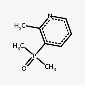 Cc1ncccc1P(C)(C)=O